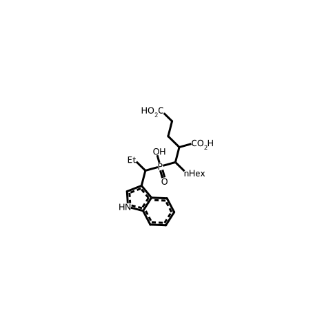 CCCCCCC(C(CCC(=O)O)C(=O)O)P(=O)(O)C(CC)c1c[nH]c2ccccc12